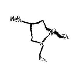 CCN1CC(NC)CN1CC